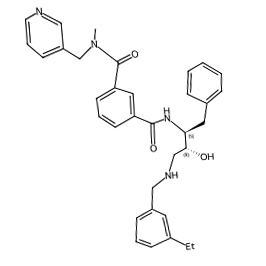 CCc1cccc(CNC[C@@H](O)[C@H](Cc2ccccc2)NC(=O)c2cccc(C(=O)N(C)Cc3cccnc3)c2)c1